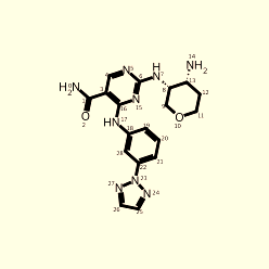 NC(=O)c1cnc(N[C@H]2COCC[C@H]2N)nc1Nc1cccc(-n2nccn2)c1